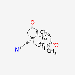 C[C@H]1C(=O)CC[C@]2(C)C3=CC(=O)CC[C@]3(C#CC#N)CC[C@@H]12